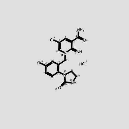 Cl.N=c1c(C(N)=O)cc(Cl)cn1Cc1cc(Cl)ccc1N1CCNC1=O